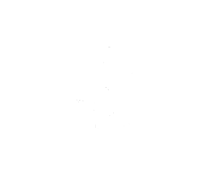 COCN(C[Si](C)(C)C)C1CCOCC1